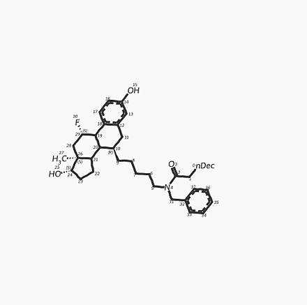 CCCCCCCCCCCC(=O)N(CCCCC[C@@H]1Cc2cc(O)ccc2C2C1C1CC[C@H](O)[C@@]1(C)C[C@@H]2F)Cc1ccccc1